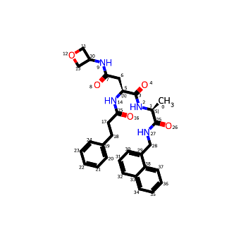 C[C@H](NC(=O)[C@H](CC(=O)NC1COC1)NC(=O)CCc1ccccc1)C(=O)NCc1cccc2ccccc12